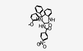 COc1cccc(C2(c3ccccc3)NC(NC(=O)c3ccc([N+](=O)[O-])cc3)C(=O)Nc3ccccc32)c1